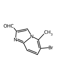 Cc1c(Br)ccc2nc(C=O)cn12